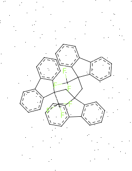 FC(F)(F)C1(CC2(CC3(C(F)(F)F)c4ccccc4-c4ccccc43)c3ccccc3-c3ccccc32)c2ccccc2-c2ccccc21